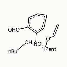 C=COC(C)CCC.CCCCO.O=Cc1ccccc1[N+](=O)[O-]